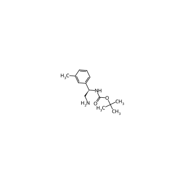 Cc1cccc([C@H](CN)NC(=O)OC(C)(C)C)c1